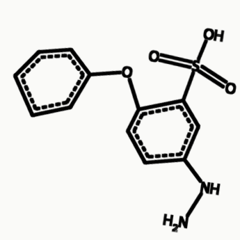 NNc1ccc(Oc2ccccc2)c(S(=O)(=O)O)c1